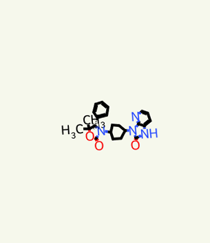 CC1(C)OC(=O)N(C2CCC(n3c(=O)[nH]c4cccnc43)CC2)[C@H]1c1ccccc1